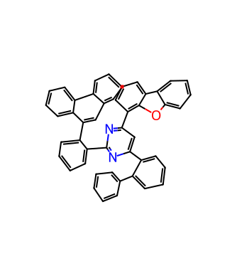 c1ccc(-c2ccccc2-c2cc(-c3cccc4c3oc3ccccc34)nc(-c3ccccc3-c3cc4ccccc4c4ccccc34)n2)cc1